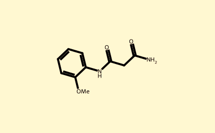 COc1ccccc1NC(=O)CC(N)=O